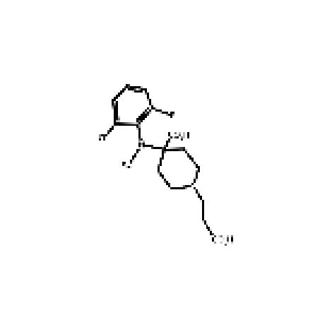 CC(=O)N(c1c(F)cccc1Cl)C1(C(=O)O)CCN(CCC(=O)O)CC1